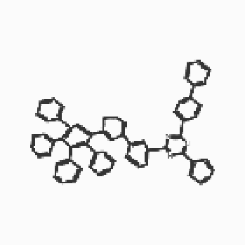 C1=C(c2cccc(-c3nc(-c4ccccc4)nc(-c4ccc(-c5ccccc5)cc4)n3)c2)C=C(c2cc(-c3ccccc3)c(-c3ccccc3)c(-c3ccccc3)c2-c2ccccc2)CC1